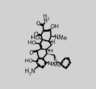 CNc1cc(N)c(O)c2c1[C@H](CSc1ccccc1)[C@H]1C[C@H]3[C@H](NC)C(O)=C(C(N)=O)C(=O)[C@@]3(O)C(O)=C1C2=O